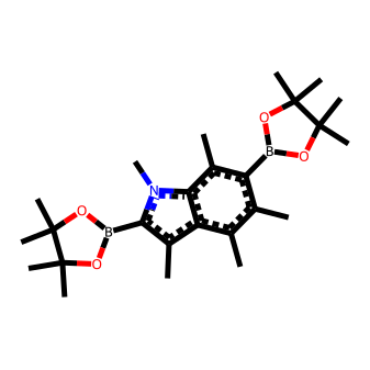 Cc1c(B2OC(C)(C)C(C)(C)O2)c(C)c2c(c1C)c(C)c(B1OC(C)(C)C(C)(C)O1)n2C